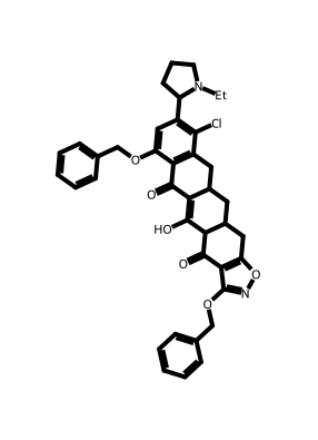 CCN1CCCC1c1cc(OCc2ccccc2)c2c(c1Cl)CC1CC3Cc4onc(OCc5ccccc5)c4C(=O)C3C(O)=C1C2=O